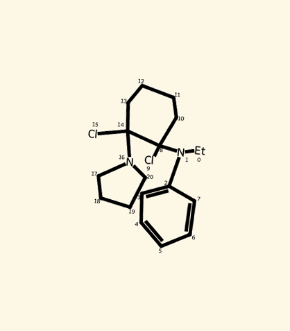 CCN(c1ccccc1)C1(Cl)CCCCC1(Cl)N1CCCC1